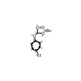 CCc1ccc(OC(C=O)OC(C)(C)C)cc1